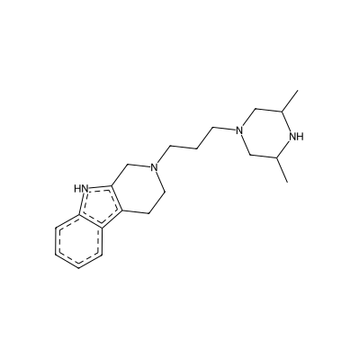 CC1CN(CCCN2CCc3c([nH]c4ccccc34)C2)CC(C)N1